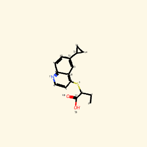 CCC(Sc1ccnc2ccc(C3CC3)cc12)C(=O)O